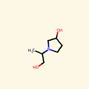 CC(CO)N1CCC(O)C1